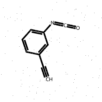 C#Cc1cccc(N=C=O)c1